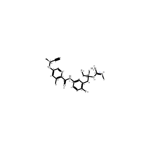 C#C[C@H](C)Oc1cnc(C(=O)Nc2ccc(F)c(C[C@](C)(CF)S/C(N)=N\C)c2)c(C)c1